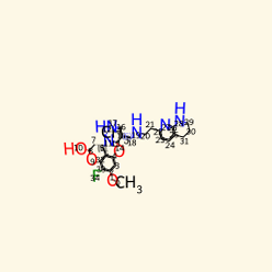 COc1ccc([C@H](CC(=O)O)N(C)C(=O)/C(C=N)=C/NCCc2ccc3c(n2)NCCC3)cc1F